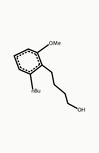 CCCCc1cccc(OC)c1CCCCO